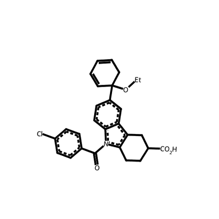 CCOC1(c2ccc3c(c2)c2c(n3C(=O)c3ccc(Cl)cc3)CCC(C(=O)O)C2)C=CC=CC1